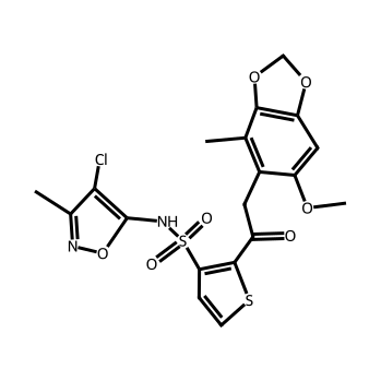 COc1cc2c(c(C)c1CC(=O)c1sccc1S(=O)(=O)Nc1onc(C)c1Cl)OCO2